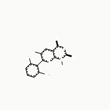 [2H]n1c(=O)[nH]c(=O)c2cc(F)c(-c3c(F)cccc3OC)nc21